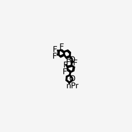 CCCC1CCC(c2ccc(C(F)(F)Oc3ccc4c(F)c(F)c(F)cc4c3)c(F)c2F)OC1